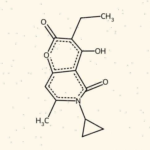 CCc1c(O)c2c(=O)n(C3CC3)c(C)cc2oc1=O